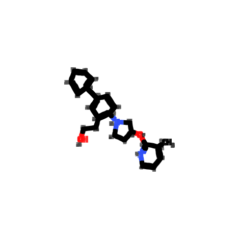 Cc1cccnc1OC1CCN(c2ccc(-c3ccccc3)cc2CCO)C1